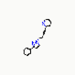 C(#Cc1ccccn1)CCn1ccc(-c2ccccc2)n1